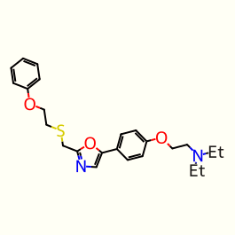 CCN(CC)CCOc1ccc(-c2cnc(CSCCOc3ccccc3)o2)cc1